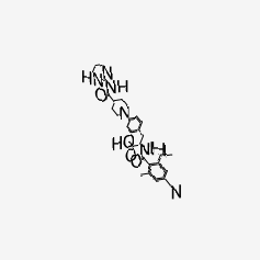 CCc1cc(C#N)cc(C)c1C(=O)NC(Cc1ccc(N2CCC(C(=O)NC3=NCCCN3)CC2)cc1)C(=O)O